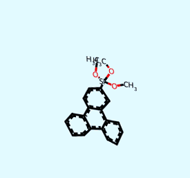 CO[Si](OC)(OC)c1ccc2c3ccccc3c3ccccc3c2c1